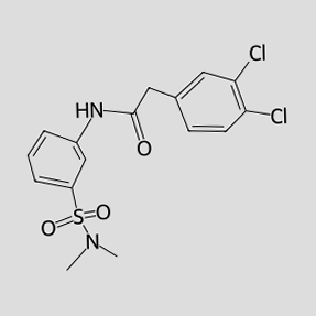 CN(C)S(=O)(=O)c1cccc(NC(=O)Cc2ccc(Cl)c(Cl)c2)c1